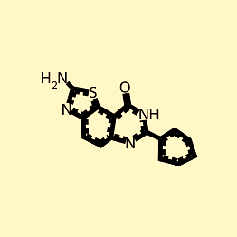 Nc1nc2ccc3nc(-c4ccccc4)[nH]c(=O)c3c2s1